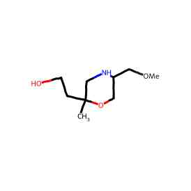 COCC1COC(C)(CCO)CN1